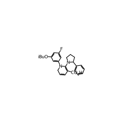 CC(C)COc1cc(F)cc(N2CC=CC(C(=O)O)=C2N2CCCC2c2ccccc2)c1